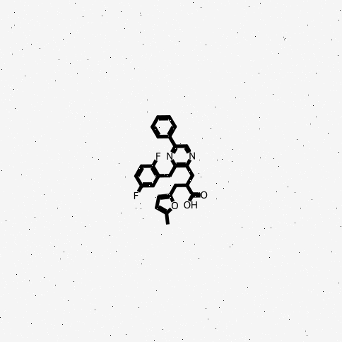 Cc1ccc(CC(Cc2ncc(-c3ccccc3)nc2Cc2cc(F)ccc2F)C(=O)O)o1